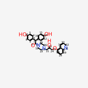 O=C(C(c1ccc(O)cc1)c1ccc(O)cc1)N1CCN(CC(O)COc2cccc3ncccc23)CC1